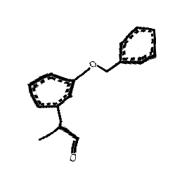 CC(C=O)c1cccc(OCc2ccccc2)c1